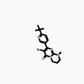 CN1CCCn2c1nc(-c1ccc(C(C)(C)C)nc1)c(Br)c2=O